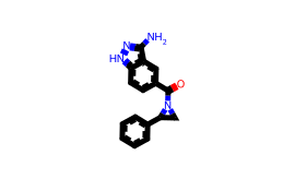 Nc1n[nH]c2ccc(C(=O)N3CC3c3ccccc3)cc12